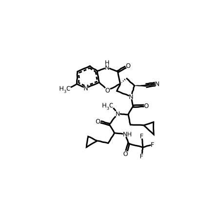 Cc1ccc2c(n1)O[C@@]1(C[C@@H](C#N)N(C(=O)C(CC3CC3)N(C)C(=O)C(CC3CC3)NC(=O)C(F)(F)F)C1)C(=O)N2